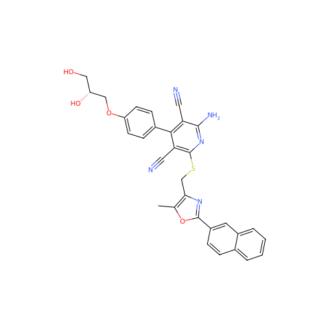 Cc1oc(-c2ccc3ccccc3c2)nc1CSc1nc(N)c(C#N)c(-c2ccc(OC[C@H](O)CO)cc2)c1C#N